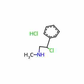 CNCC(Cl)c1ccccc1.Cl